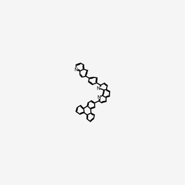 c1cnc2ccc(-c3ccc(-c4ccc5ccc6ccc(-c7ccc8c9ccccc9c9ccccc9c8c7)nc6c5n4)cc3)cc2c1